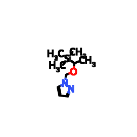 CC(OCn1cccn1)[Si](C)(C)C